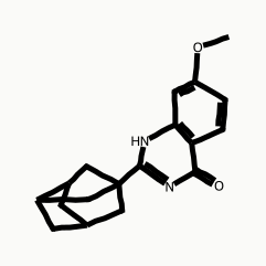 COc1ccc2c(=O)nc(C34CC5CC(C3)C(C5)C4)[nH]c2c1